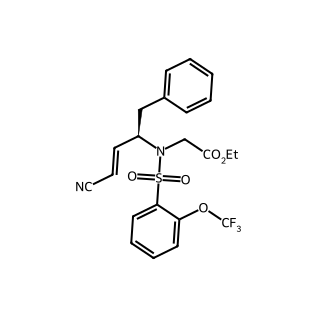 CCOC(=O)CN([C@@H](/C=C/C#N)Cc1ccccc1)S(=O)(=O)c1ccccc1OC(F)(F)F